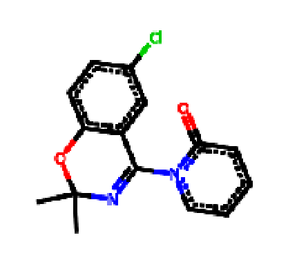 CC1(C)N=C(n2ccccc2=O)c2cc(Cl)ccc2O1